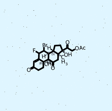 CC(=O)OCC(=O)[C@@]1(O)CC[C@H]2[C@@H]3C(Br)C(F)C4=CC(=O)CC[C@]4(C)[C@H]3C(=O)C[C@@]21C